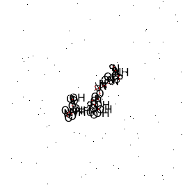 Cc1c(-c2ccc(N3CCc4cccc(C(=O)Nc5nc6ccccc6s5)c4C3)nc2C(=O)O)cnn1CC12CC3(C)CC(C)(C1)CC(OCCN(C)C(=O)OCc1ccc(CCCCNC(=O)CN4C(=O)[C@@H](N5C(=O)C=CC5=O)C[C@H]4COCCS(=O)(=O)O)cc1O[C@@H]1O[C@H](C(=O)O)[C@@H](O)[C@H](O)[C@H]1O)(C3)C2